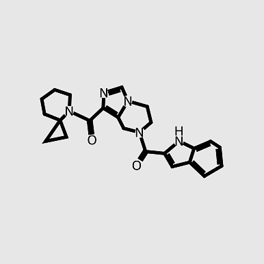 O=C(c1cc2ccccc2[nH]1)N1CCn2cnc(C(=O)N3CCCCC34CC4)c2C1